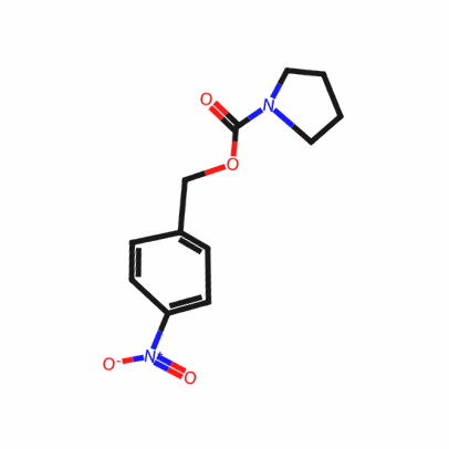 O=C(OCc1ccc([N+](=O)[O-])cc1)N1CCCC1